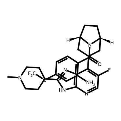 CN1CCC(c2nc3c(C4C[C@H]5CC[C@@H](C4)N5C(=O)c4ccc(OC(F)(F)F)cc4N)c(F)cnc3[nH]2)CC1